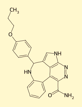 CCCOc1ccc(C2Nc3ccccc3-c3c(C(N)=O)nnc4[nH]cc2c34)cc1